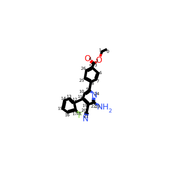 CCOC(=O)c1ccc(-c2cc(-c3ccccc3F)c(C#N)c(N)n2)cc1